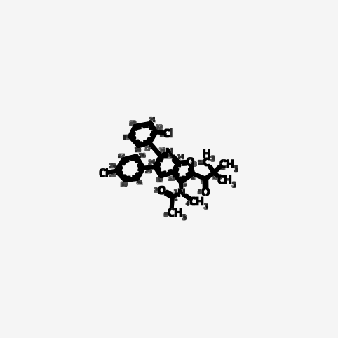 CC(=O)N(C)c1c(C(=O)C(C)(C)C)oc2nc(-c3ccccc3Cl)c(-c3ccc(Cl)cc3)cc12